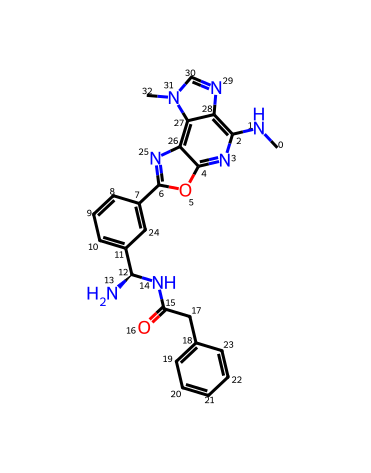 CNc1nc2oc(-c3cccc([C@H](N)NC(=O)Cc4ccccc4)c3)nc2c2c1ncn2C